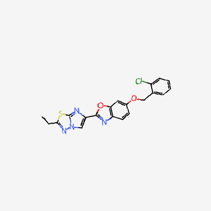 CCc1nn2cc(-c3nc4ccc(OCc5ccccc5Cl)cc4o3)nc2s1